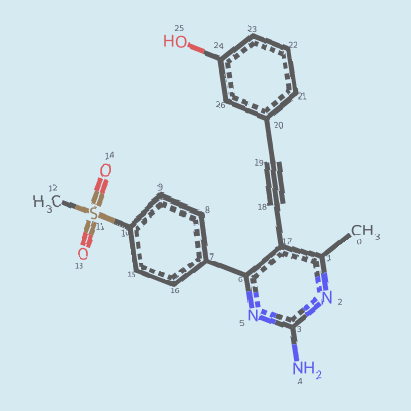 Cc1nc(N)nc(-c2ccc(S(C)(=O)=O)cc2)c1C#Cc1cccc(O)c1